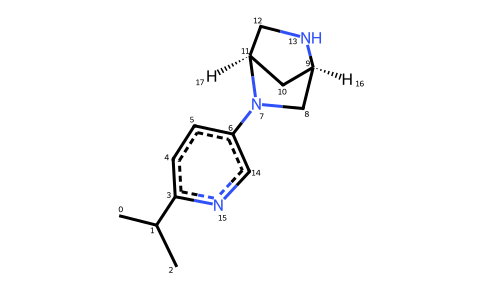 CC(C)c1ccc(N2C[C@H]3C[C@@H]2CN3)cn1